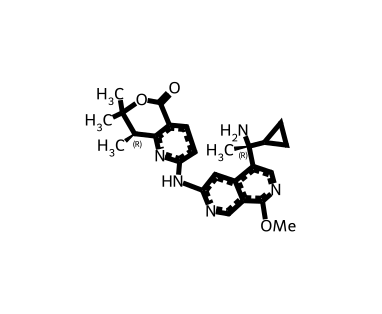 COc1ncc([C@](C)(N)C2CC2)c2cc(Nc3ccc4c(n3)[C@@H](C)C(C)(C)OC4=O)ncc12